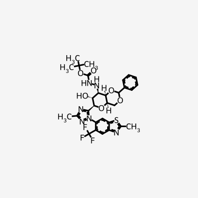 Cc1nc([C@@H]2O[C@@H]3COC(c4ccccc4)O[C@@H]3[C@H](NNC(=O)OC(C)(C)C)[C@H]2O)n(-c2cc3sc(C)nc3cc2C(F)(F)F)n1